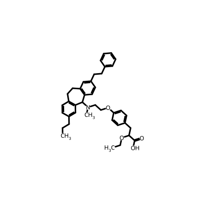 CCCc1ccc2c(c1)C(N(C)CCOc1ccc(CC(OCC)C(=O)O)cc1)c1ccc(CCc3ccccc3)cc1CC2